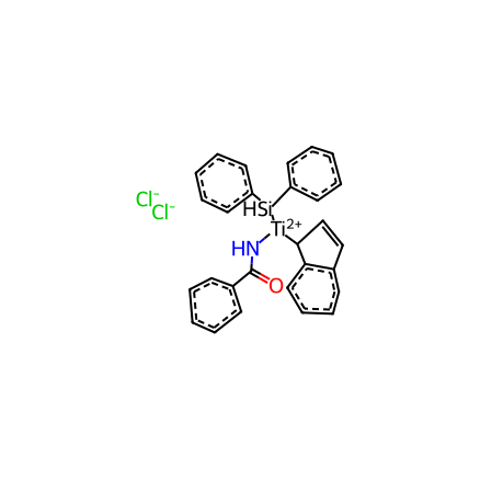 O=C([NH][Ti+2]([CH]1C=Cc2ccccc21)[SiH](c1ccccc1)c1ccccc1)c1ccccc1.[Cl-].[Cl-]